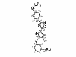 [CH2]C(C)(C)c1cccc(Cn2nc(-c3nc(-c4ccc(OC(F)(F)F)cc4)no3)cc2C)c1